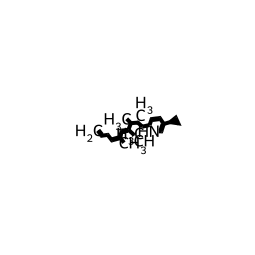 C#C/C(=C\C(C)=C/CC=C)C(C)[C@@H](C)C(C)C1C=CC(C2CC2)=CN1